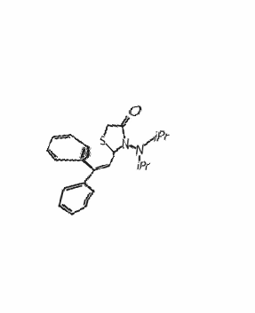 CC(C)N(C(C)C)N1C(=O)CSC1C=C(c1ccccc1)c1ccccc1